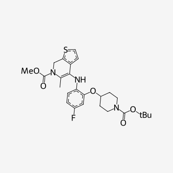 COC(=O)N1Cc2sccc2C(Nc2ccc(F)cc2OC2CCN(C(=O)OC(C)(C)C)CC2)=C1C